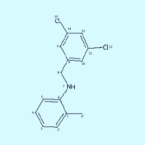 [CH2]c1ccccc1NCc1cc(Cl)cc(Cl)c1